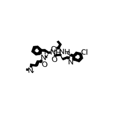 CCC(=O)N[C@@H](Cc1nc2ccc(Cl)cc2s1)C(=O)N[C@H](CNC(=O)/C=C/CN(C)C)Cc1ccccc1